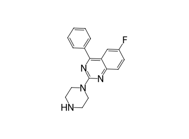 Fc1ccc2nc(N3CCNCC3)nc(-c3ccccc3)c2c1